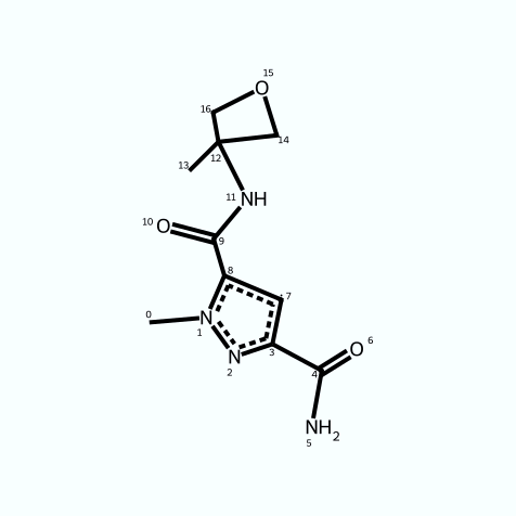 Cn1nc(C(N)=O)[c]c1C(=O)NC1(C)COC1